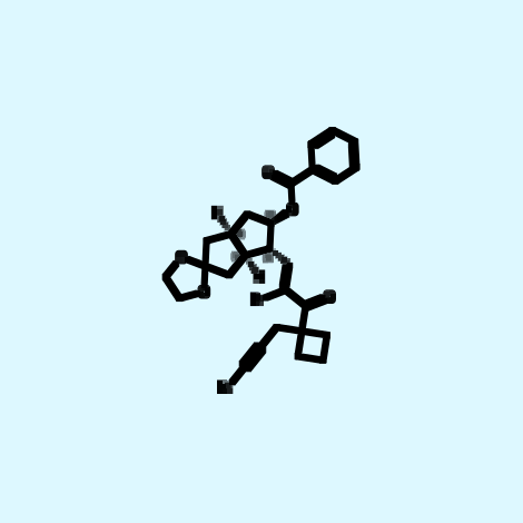 CCC#CCC1(C(=O)C(Br)=C[C@@H]2[C@H]3CC4(C[C@H]3C[C@H]2OC(=O)c2ccccc2)OCCO4)CCC1